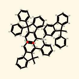 CC1(C)c2ccccc2-c2cccc(-c3ccccc3N(c3ccc4c(c3)C(C)(c3ccccc3)c3ccccc3-4)c3cccc4c3-c3ccccc3C4(c3ccccc3)c3ccccc3)c21